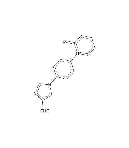 O=Cc1cn(-c2ccc(-n3ccccc3=O)cc2)cn1